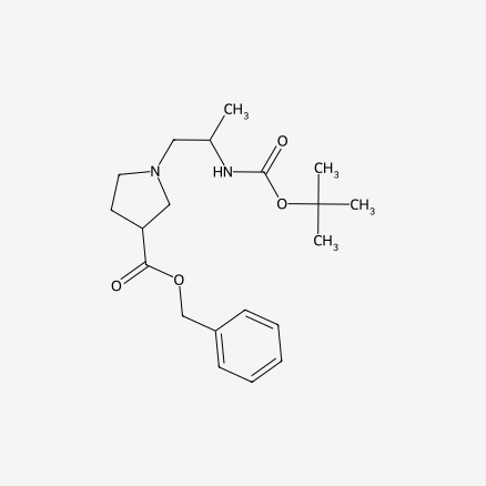 CC(CN1CCC(C(=O)OCc2ccccc2)C1)NC(=O)OC(C)(C)C